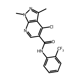 Cc1nn(C)c2ncc(C(=O)Nc3ccccc3C(F)(F)F)c(Cl)c12